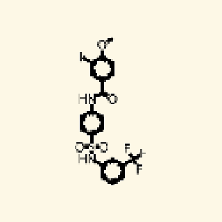 COc1ccc(C(=O)Nc2ccc(S(=O)(=O)Nc3cccc(C(F)(F)F)c3)cc2)cc1I